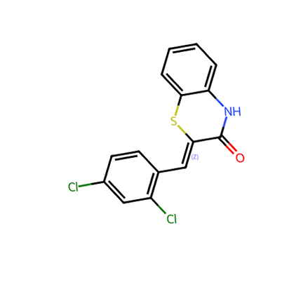 O=C1Nc2ccccc2S/C1=C\c1ccc(Cl)cc1Cl